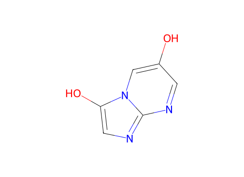 Oc1cnc2ncc(O)n2c1